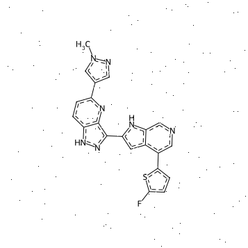 Cn1cc(-c2ccc3[nH]nc(-c4cc5c(-c6ccc(F)s6)cncc5[nH]4)c3n2)cn1